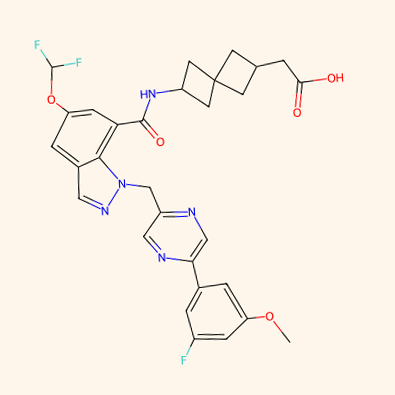 COc1cc(F)cc(-c2cnc(Cn3ncc4cc(OC(F)F)cc(C(=O)NC5CC6(CC(CC(=O)O)C6)C5)c43)cn2)c1